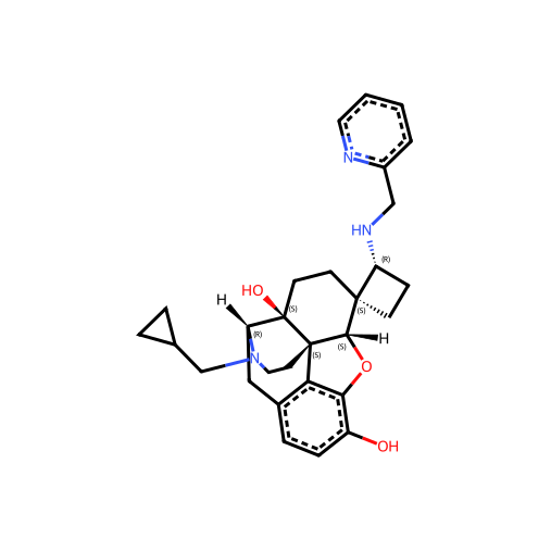 Oc1ccc2c3c1O[C@H]1[C@@]4(CC[C@H]4NCc4ccccn4)CC[C@@]4(O)[C@@H](C2)N(CC2CC2)CC[C@]314